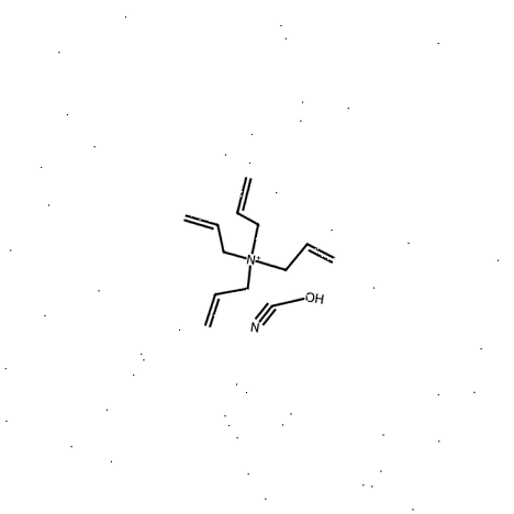 C=CC[N+](CC=C)(CC=C)CC=C.N#CO